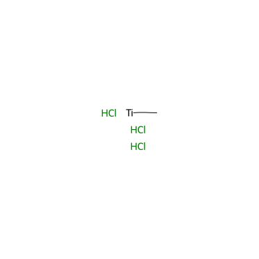 Cl.Cl.Cl.[CH3][Ti]